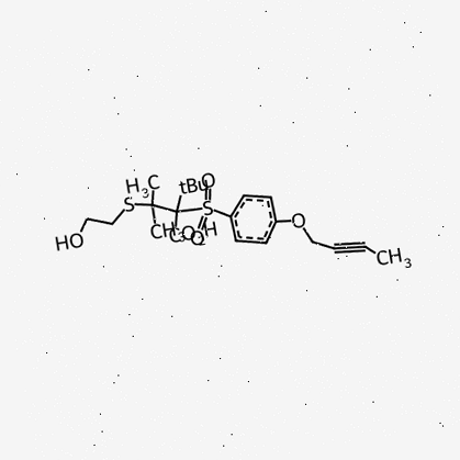 CC#CCOc1ccc(S(=O)(=O)C(C(=O)O)(C(C)(C)C)C(C)(C)SCCO)cc1